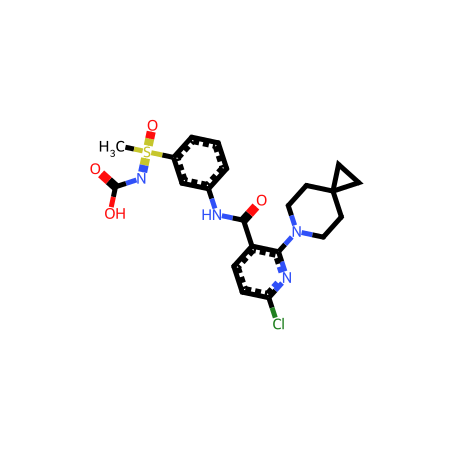 CS(=O)(=NC(=O)O)c1cccc(NC(=O)c2ccc(Cl)nc2N2CCC3(CC2)CC3)c1